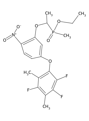 CCOP(C)(=O)C(C)Oc1cc(Oc2c(C)c(F)c(C)c(F)c2F)ccc1[N+](=O)[O-]